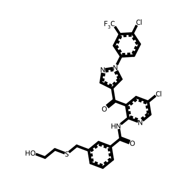 O=C(Nc1ncc(Cl)cc1C(=O)c1cnn(-c2ccc(Cl)c(C(F)(F)F)c2)c1)c1cccc(CSCCO)c1